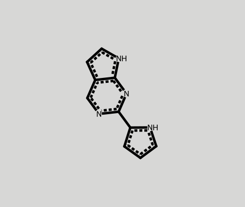 c1c[nH]c(-c2ncc3cc[nH]c3n2)c1